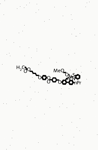 C=CC(=O)OCCCCCCOc1ccc(OC(=O)C2CCC(COc3ccc(-c4ccc(CCC)cc4)c(/C=N/N(COCCOC)c4nc5ccccc5s4)c3)CC2)cc1